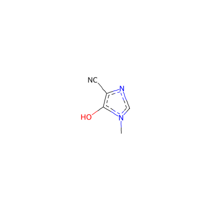 Cn1cnc(C#N)c1O